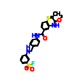 C[C@H]1Sc2ccc(C(=O)Nc3ccc(CNc4cccc(S(=O)(=O)F)c4)cc3)cc2NC1=O